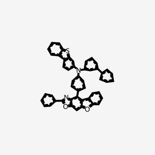 c1ccc(-c2cccc(N(c3ccc(-c4c5nc(-c6ccccc6)oc5cc5oc6ccccc6c45)cc3)c3ccc4c(c3)sc3ccccc34)c2)cc1